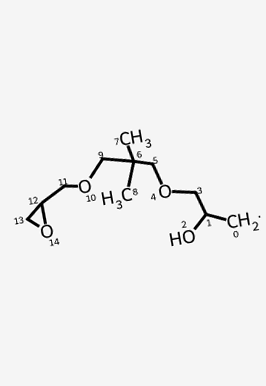 [CH2]C(O)COCC(C)(C)COCC1CO1